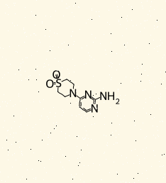 Nc1nccc(N2CCS(=O)(=O)CC2)n1